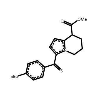 CCCCc1ccc(C(=S)c2ccc3n2CCCC3C(=O)OC)cc1